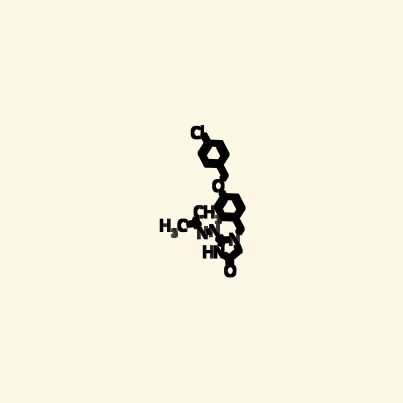 CC(C)=NN=C1NC(=O)CN1Cc1ccc(OCc2ccc(Cl)cc2)cc1